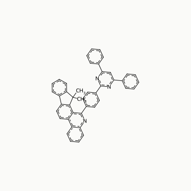 CC1(C)c2ccccc2-c2ccc3c(c(-c4ccc(-c5nc(-c6ccccc6)cc(-c6ccccc6)n5)cc4)nc4ccccc43)c21